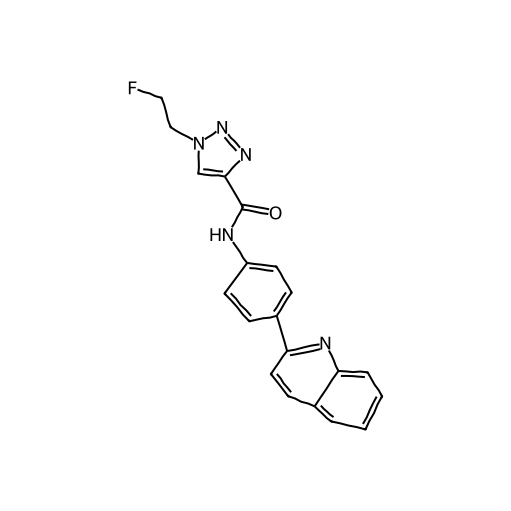 O=C(Nc1ccc(-c2ccc3ccccc3n2)cc1)c1cn(CCF)nn1